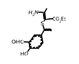 C=C(S/C(C(=O)OCC)=C(/C)N)c1ccc(O)c(C=O)c1